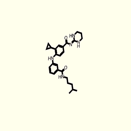 CC(C)CCCNC(=O)c1cccc(Nc2ccc(C(=O)N=C3NCCCN3)cc2C2CC2)c1